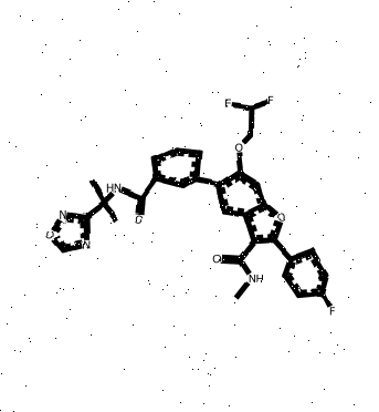 CNC(=O)c1c(-c2ccc(F)cc2)oc2cc(OCC(F)F)c(-c3cccc(C(=O)NC(C)(C)c4ncon4)c3)cc12